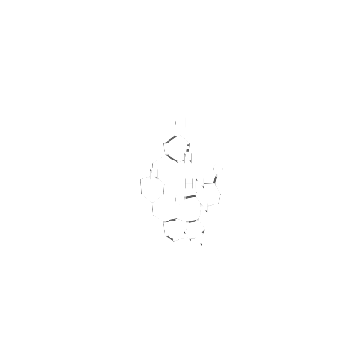 Cc1cncc(CN2CCC(Cc3ccn4ncc(N5CCC(=O)NC5=O)c4c3)CC2)c1